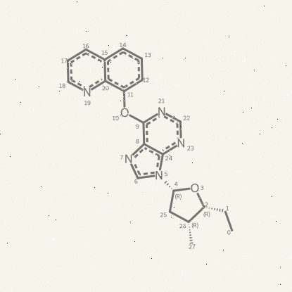 CC[C@H]1O[C@@H](n2cnc3c(Oc4cccc5cccnc45)ncnc32)C[C@H]1C